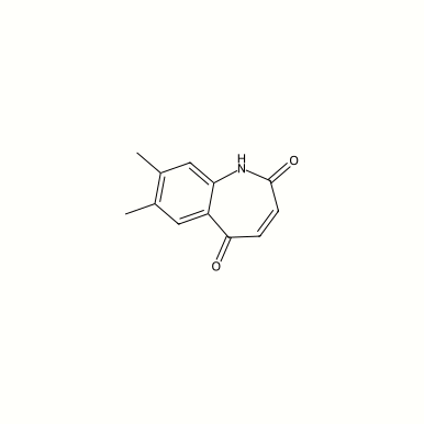 Cc1cc2[nH]c(=O)ccc(=O)c2cc1C